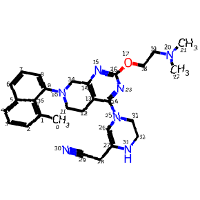 Cc1cccc2cccc(N3CCc4c(nc(OCCN(C)C)nc4N4C=C(CC#N)NCC4)C3)c12